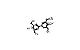 OCc1cc(-c2cc(CO)c(O)c(CO)c2)cc(CO)c1O